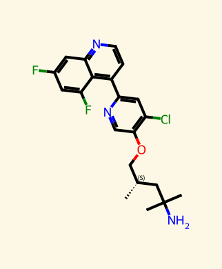 C[C@H](COc1cnc(-c2ccnc3cc(F)cc(F)c23)cc1Cl)CC(C)(C)N